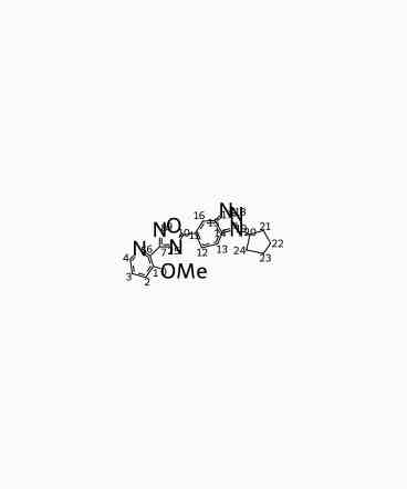 COc1cccnc1-c1noc(-c2ccc3c(c2)nnn3C2CCCC2)n1